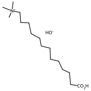 C[N+](C)(C)CCCCCCCCCCCCC(=O)O.[OH-]